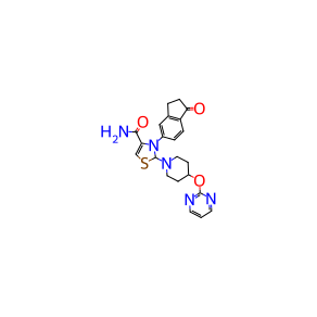 NC(=O)C1=CSC(N2CCC(Oc3ncccn3)CC2)N1c1ccc2c(c1)CCC2=O